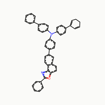 C1=CC(c2ccc(N(c3ccc(-c4ccccc4)cc3)c3ccc(-c4ccc5c(ccc6oc(-c7ccccc7)nc65)c4)cc3)cc2)=CCC1